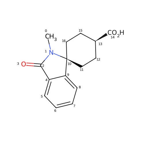 CN1C(=O)c2ccccc2[C@]12CC[C@H](C(=O)O)CC2